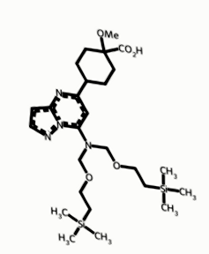 COC1(C(=O)O)CCC(c2cc(N(COCC[Si](C)(C)C)COCC[Si](C)(C)C)n3nccc3n2)CC1